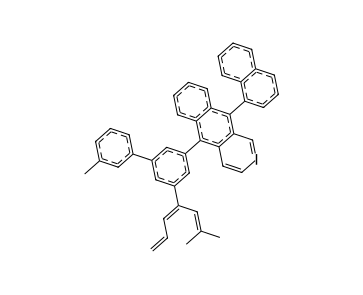 C=C/C=C(\C=C(C)C)c1cc(-c2cccc(C)c2)cc(-c2c3c(c(-c4cccc5ccccc45)c4ccccc24)C=IC=C3)c1